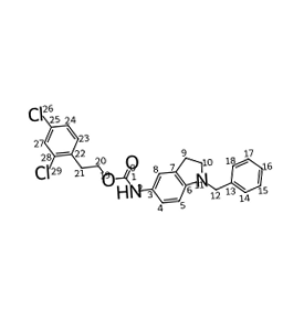 O=C(Nc1ccc2c(c1)CCN2Cc1ccccc1)OCCc1ccc(Cl)cc1Cl